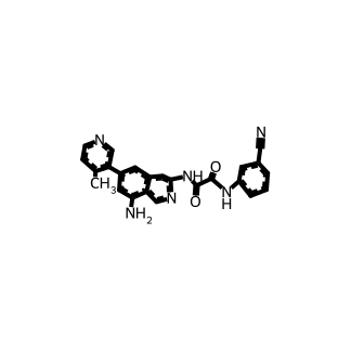 Cc1ccncc1-c1cc(N)c2cnc(NC(=O)C(=O)Nc3cccc(C#N)c3)cc2c1